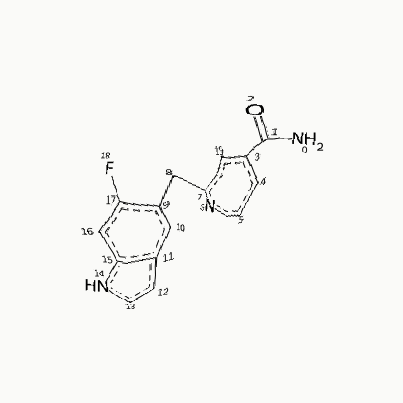 NC(=O)c1ccnc(Cc2cc3cc[nH]c3cc2F)c1